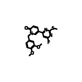 COc1ccc(Cn2cc(-c3cc(F)nc(SC)n3)ccc2=O)cc1OC